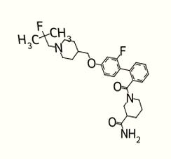 CC(C)(F)CN1CCC(COc2ccc(-c3ccccc3C(=O)N3CCCC(C(N)=O)C3)c(F)c2)CC1